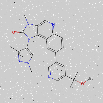 CCOC(C)(C)c1cncc(-c2ccc3ncc4c(c3c2)n(-c2cn(C)nc2C)c(=O)n4C)c1